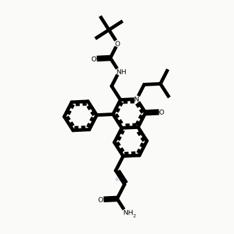 CC(C)Cn1c(CNC(=O)OC(C)(C)C)c(-c2ccccc2)c2cc(/C=C/C(N)=O)ccc2c1=O